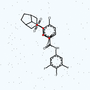 CC(=O)OCC1CC2CCC(C1)C2S(=O)(=O)c1cc(C(=O)Nc2cc(F)c(F)c(F)c2)ccc1Cl